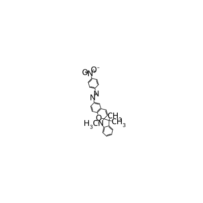 CN1c2ccccc2C(C)(C)C12C=Cc1cc(N=Nc3ccc([N+](=O)[O-])cc3)ccc1O2